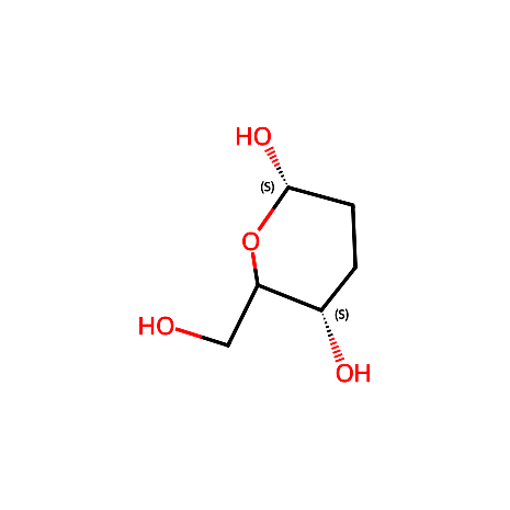 OCC1O[C@H](O)CC[C@@H]1O